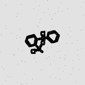 C[Si](C)(Cl)O[Si](Cl)(c1ccccc1)c1ccccc1